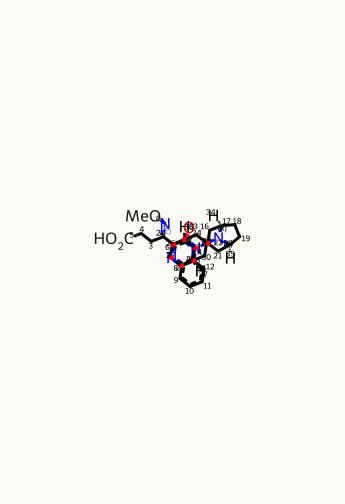 CO/N=C(\CCC(=O)O)c1nc2ccccc2n([C@H]2C[C@H]3CC[C@@H](C2)N3C2C[C@H]3CCC[C@@H](C2)C3)c1=O